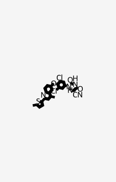 Cc1ccc(-c2cc(C)c3cc(Oc4c(Cl)cc(-n5nc(C#N)c(=O)[nH]c5=O)cc4Cl)ccc3n2)s1